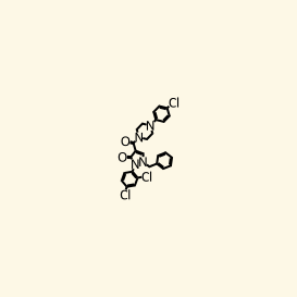 O=C(c1cn(Cc2ccccc2)n(-c2ccc(Cl)cc2Cl)c1=O)N1CCN(c2ccc(Cl)cc2)CC1